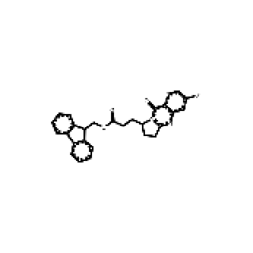 O=C(CCC1CCc2nc3cc(Br)cnc3c(=O)n21)OCC1c2ccccc2-c2ccccc21